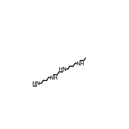 CCCNCCCCNCCCCNCCCCNCC